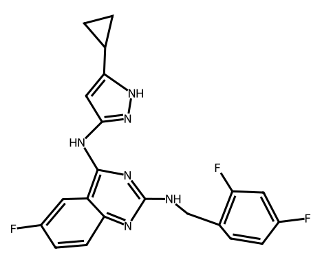 Fc1ccc(CNc2nc(Nc3cc(C4CC4)[nH]n3)c3cc(F)ccc3n2)c(F)c1